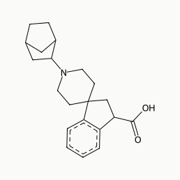 O=C(O)C1CC2(CCN(C3CC4CCC3C4)CC2)c2ccccc21